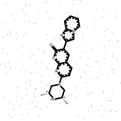 C[C@@H]1CN(c2ccc3cc(-c4cn5ccccc5n4)c(=O)oc3n2)C[C@H](C)N1